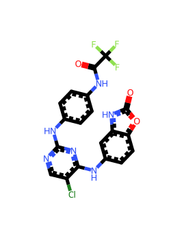 O=C(Nc1ccc(Nc2ncc(Cl)c(Nc3ccc4oc(=O)[nH]c4c3)n2)cc1)C(F)(F)F